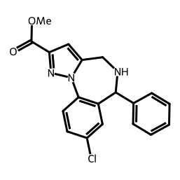 COC(=O)c1cc2n(n1)-c1ccc(Cl)cc1C(c1ccccc1)NC2